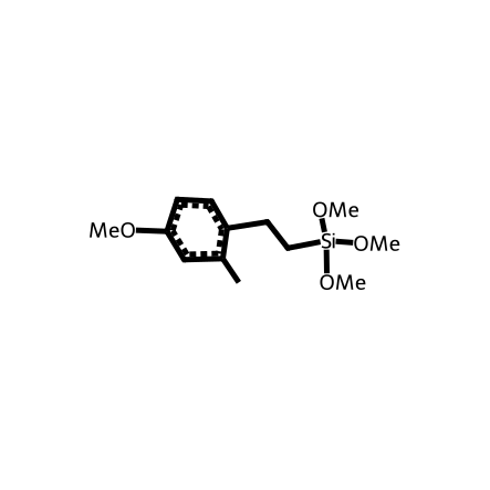 COc1ccc(CC[Si](OC)(OC)OC)c(C)c1